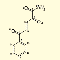 NC(=O)C(=O)[C]=CC(=O)c1ccccc1